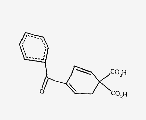 O=C(C1=CCC(C(=O)O)(C(=O)O)C=C1)c1ccccc1